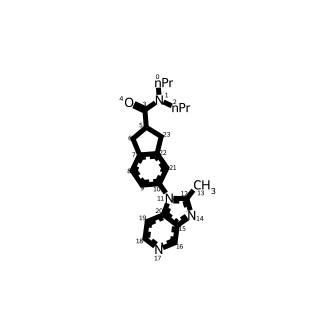 CCCN(CCC)C(=O)C1Cc2ccc(-n3c(C)nc4cnccc43)cc2C1